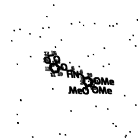 COc1cc(CNCCOc2cccc3c2OCCO3)cc(OC)c1OC